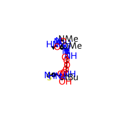 CNC(=O)c1nnc(NC(=O)C2CC2)cc1Nc1cccc(-c2ncn(CCNC(=O)COCCOCCOCC(=O)N[C@H](C(=O)N3C[C@H](O)C[C@H]3C(=O)NCc3ccc(-c4scnc4C)cc3)C(C)(C)C)n2)c1OC